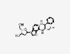 OC[C@H](Nc1ncnc2c1ncn2[C@H]1CC(O)[C@@H](CO)O1)[C@@H](O)c1ccccc1